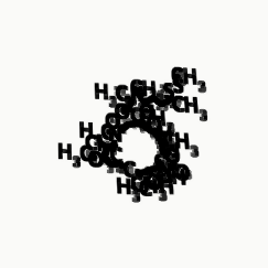 COc1cc2cc(c1Cl)N(C)C(=O)C[C@H](OC(=O)[C@H](C)N(C)C(=O)CCC(C)SSC)[C@]1(C)O[C@@H]1[C@H](C)[C@@H]1C[C@@](O)(NC(=O)O1)[C@H](OC)C(C)C2